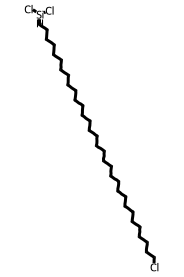 ClCCCCCCCCCCCCCCCCCCCCCCCCCCCCCCCC[SiH](Cl)Cl